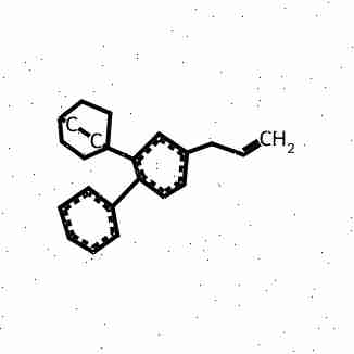 C=CCc1ccc(-c2ccccc2)c(C23CCC(CC2)CC3)c1